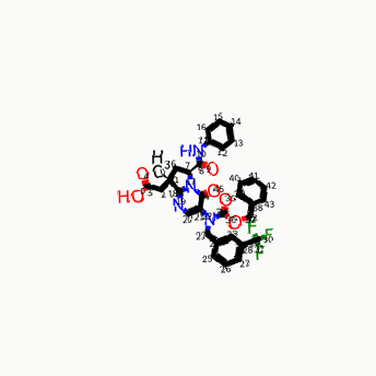 C[C@]1(CC(=O)O)C[C@@H](C(=O)Nc2ccccc2)n2c1ncc(N(Cc1cccc(C(F)(F)F)c1)C(=O)OCc1ccccc1)c2=O